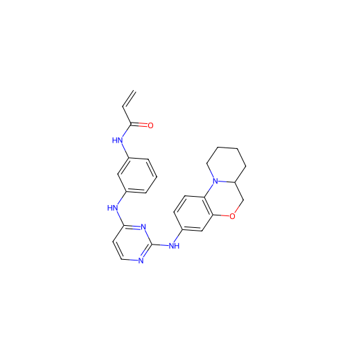 C=CC(=O)Nc1cccc(Nc2ccnc(Nc3ccc4c(c3)OCC3CCCCN43)n2)c1